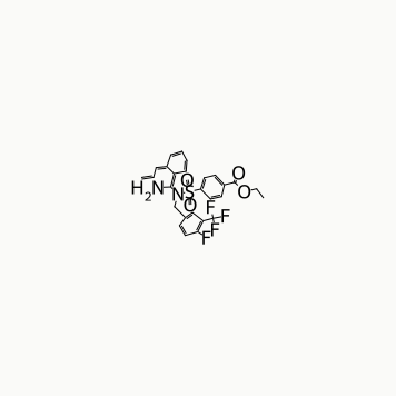 C=C/C=c1/cccc/c1=C(/N)N(Cc1ccc(F)c(C(F)(F)F)c1)S(=O)(=O)c1ccc(C(=O)OCC)cc1